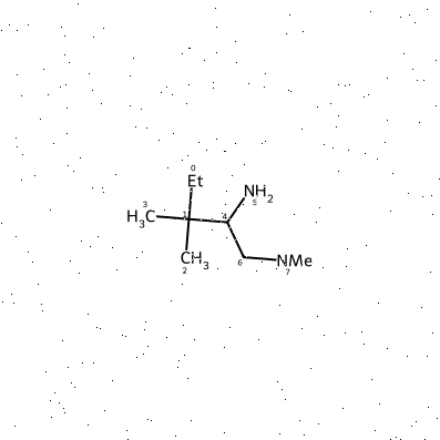 CCC(C)(C)C(N)CNC